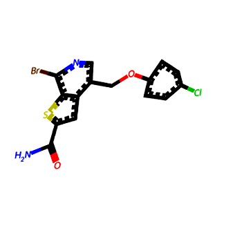 NC(=O)c1cc2c(COc3ccc(Cl)cc3)cnc(Br)c2s1